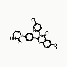 COc1ccc2nc(-c3ccc(N4C=CCNC4=O)cc3)n(-c3ccc(Cl)cn3)c(=O)c2c1